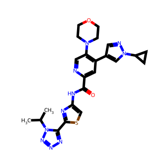 CC(C)n1nnnc1-c1nc(NC(=O)c2cc(-c3cnn(C4CC4)c3)c(N3CCOCC3)cn2)cs1